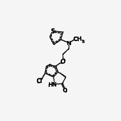 CN(CCOc1ccc(Cl)c2c1CC(=O)N2)c1ccsc1